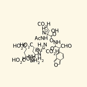 CC(=O)NC(N)(C(=O)ONC(=O)C(C=O)c1ccc2cocc2c1)[C@@H](O)CC(=O)O.CC[C@H](C)[C@H](N)C(=O)O.NC(CCC(=O)O)C(=O)O.NNC(CCC(=O)O)C(=O)O